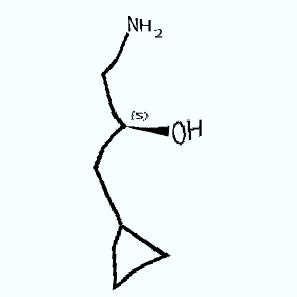 NC[C@@H](O)CC1CC1